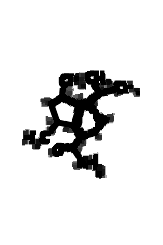 CC(C)c1ccc(C(N)=O)c2c1C(C)CC2C